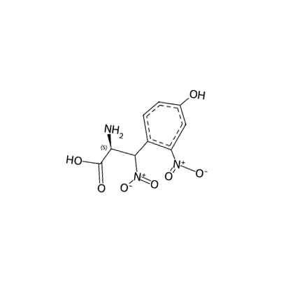 N[C@H](C(=O)O)C(c1ccc(O)cc1[N+](=O)[O-])[N+](=O)[O-]